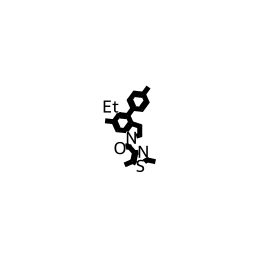 CCc1c(C)cc2c(c1-c1ccc(C)cc1)CCN2C(=O)c1nc(C)sc1C